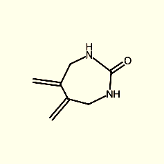 C=C1CNC(=O)NCC1=C